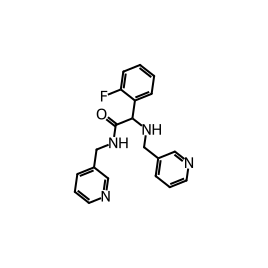 O=C(NCc1cccnc1)C(NCc1cccnc1)c1ccccc1F